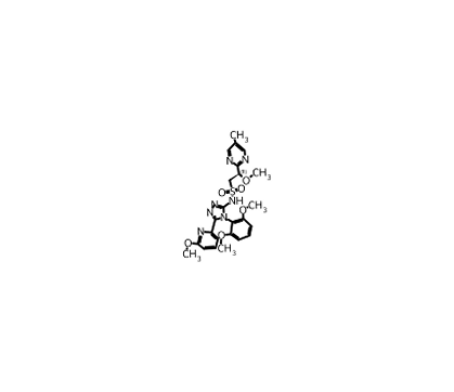 COc1cccc(-c2nnc(NS(=O)(=O)C[C@H](OC)c3ncc(C)cn3)n2-c2c(OC)cccc2OC)n1